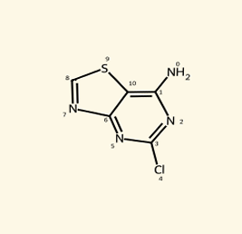 Nc1nc(Cl)nc2n[c]sc12